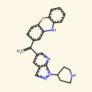 C=C(c1ccc2c(c1)Nc1ccccc1S2)c1cnc2c(cnn2C2CCNCC2)c1